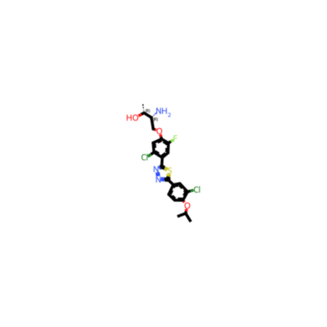 CC(C)Oc1ccc(-c2nnc(-c3cc(F)c(OC[C@@H](N)[C@@H](C)O)cc3Cl)s2)cc1Cl